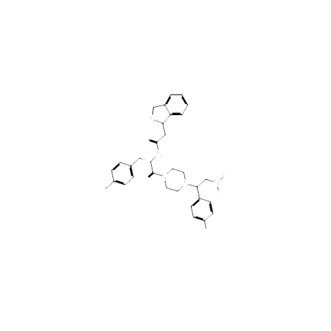 CCN(CC)CC(c1ccc(Cl)cc1)N1CCN(C(=O)[C@@H](Cc2ccc(Cl)cc2)NC(=O)CC2NCc3ccccc32)CC1